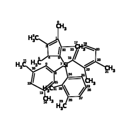 CC1=C(C)C(C)C([Si](c2cc(C)cc(C)c2)(c2cccc(C)c2C)c2cccc(C)c2C)=C1C